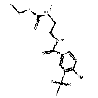 CCOC(=O)[C@H](C)CCNC(=O)c1ccc(O)c(C(F)(F)F)c1